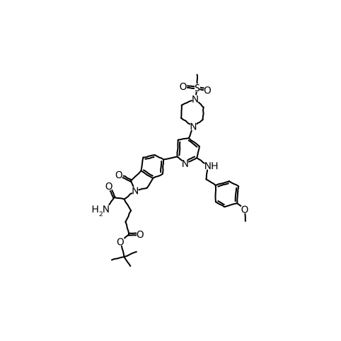 COc1ccc(CNc2cc(N3CCN(S(C)(=O)=O)CC3)cc(-c3ccc4c(c3)CN(C(CCC(=O)OC(C)(C)C)C(N)=O)C4=O)n2)cc1